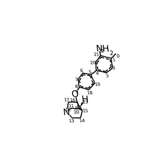 Cc1ccc(-c2ccc(O[C@H]3CN4CCC3CC4)cc2)cc1N